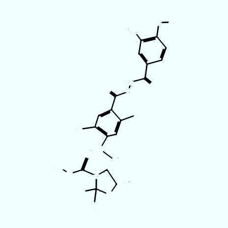 CCOc1ccc(C(=O)NNC(=O)c2cc(F)c(OC[C@@H]3[C@H](C)OC(C)(C)N3C(=O)OC(C)(C)C)cc2Cl)cc1C#N